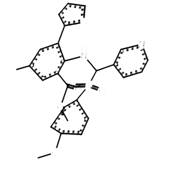 COC(=O)c1cc(C)cc(-c2cccs2)c1NC(c1cccnc1)S(=O)(=O)c1ccc(OC)cc1